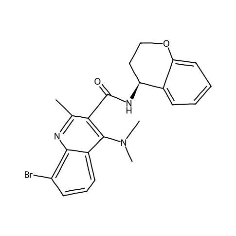 Cc1nc2c(Br)cccc2c(N(C)C)c1C(=O)N[C@H]1CCOc2ccccc21